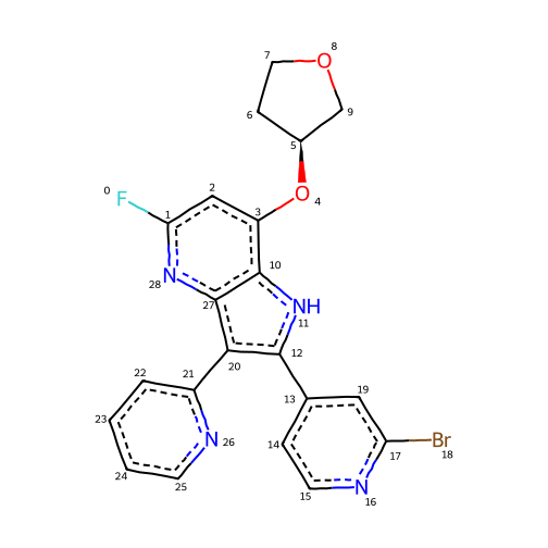 Fc1cc(O[C@H]2CCOC2)c2[nH]c(-c3ccnc(Br)c3)c(-c3ccccn3)c2n1